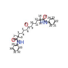 CC(C)(CCCCC(=O)CCCCC(C)(C)C(=O)Nc1ccccc1)C(=O)Nc1ccccc1